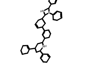 C1=CCCC(N2C(C3C=CCCC3)NC2C2CC=CC(C3=CC(C4CC(C5=CCCCC5)CC(C5=CCCC=C5)N4)CCC3)C2)=C1